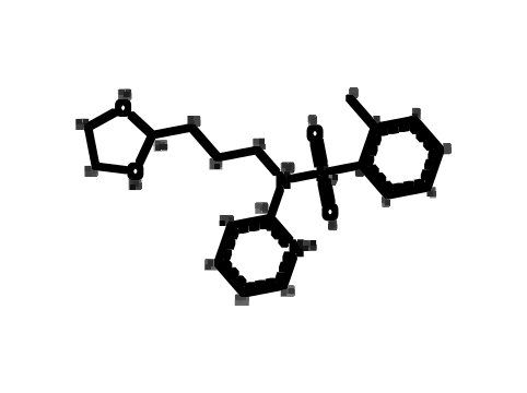 Cc1ccccc1S(=O)(=O)N(CCCC1OCCO1)c1ccccn1